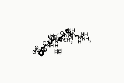 Cc1c(NC(=O)c2cc(NC(=O)c3cc4c([N+](=O)[O-])cccc4o3)cn2C)cn(C)c1C(=O)Nc1cc[nH]c1C(=O)NCCNC(=N)N.Cl.Cl